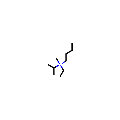 CCCC[N+](C)(CC)C(C)C